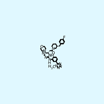 Cn1nnnc1-c1cccc(N/C(=N/C#N)N[C@@H](CC(=O)N2CCC[C@@H](Cc3ccc(F)cc3)C2)CN2CCOCC2)c1